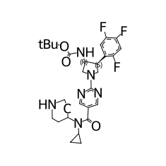 CC(C)(C)OC(=O)N[C@H]1CN(c2ncc(C(=O)N(C3CCNCC3)C3CC3)cn2)C[C@@H]1c1cc(F)c(F)cc1F